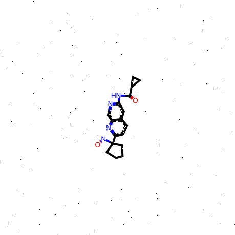 O=NC1(c2ccc3cc(NC(=O)C4CC4)ncc3n2)CCCC1